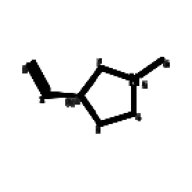 C=C[C@@H]1CCN(C)C1